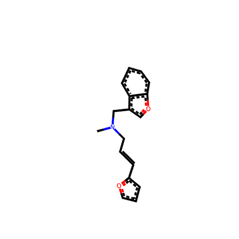 CN(C/C=C/c1ccco1)Cc1coc2ccccc12